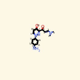 CN(C)/C=C/C(=O)c1nn(-c2ccc(N)cc2)ccc1=O